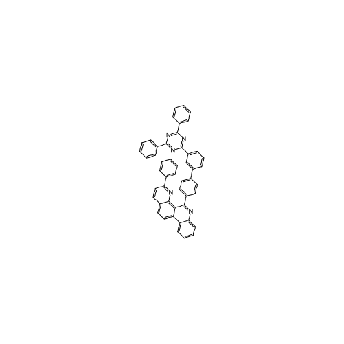 c1ccc(-c2ccc3ccc4c5ccccc5nc(-c5ccc(-c6cccc(-c7nc(-c8ccccc8)nc(-c8ccccc8)n7)c6)cc5)c4c3n2)cc1